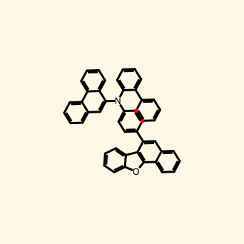 c1ccc(-c2ccccc2N(c2ccc(-c3cc4ccccc4c4oc5ccccc5c34)cc2)c2cc3ccccc3c3ccccc23)cc1